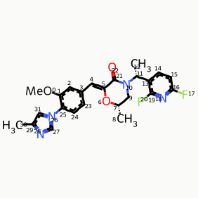 COc1cc(/C=C2\O[C@@H](C)CN([C@H](C)c3ccc(F)nc3F)C2=O)ccc1-n1cnc(C)c1